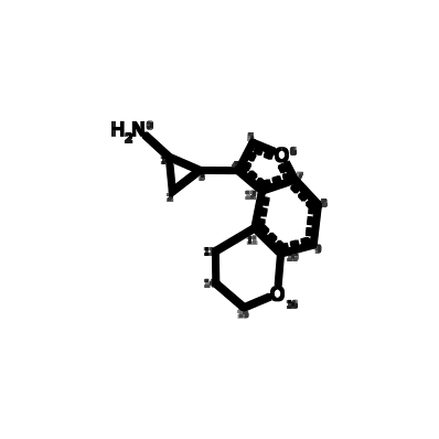 NC1CC1c1coc2ccc3c(c12)CCCO3